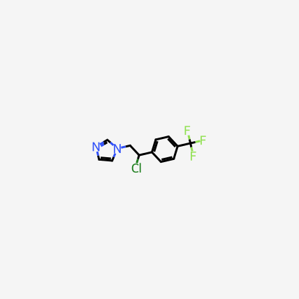 FC(F)(F)c1ccc(C(Cl)Cn2ccnc2)cc1